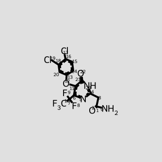 NC(=O)Cc1nc(C(F)(F)C(F)(F)F)c(Oc2ccc(Cl)c(Cl)c2)c(=O)[nH]1